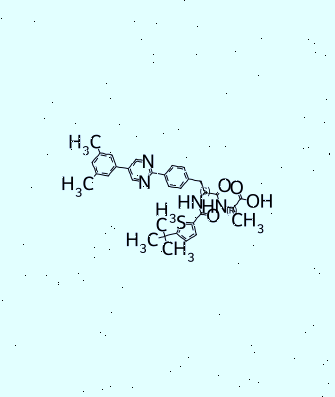 Cc1cc(C)cc(-c2cnc(-c3ccc(C[C@H](NC(=O)c4ccc(C(C)(C)C)s4)C(=O)N[C@H](C)C(=O)O)cc3)nc2)c1